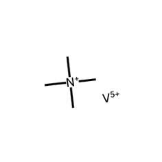 C[N+](C)(C)C.[V+5]